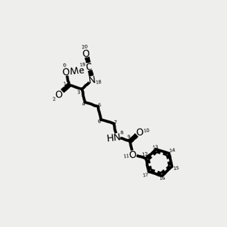 COC(=O)C(CCCCNC(=O)Oc1ccccc1)N=C=O